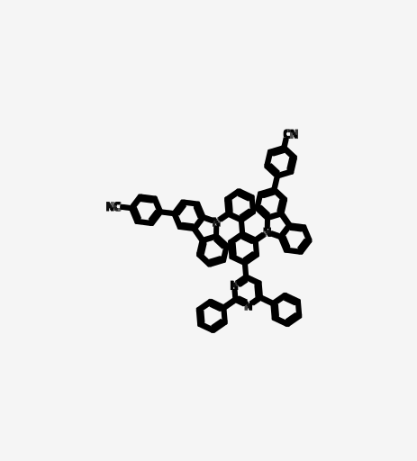 N#Cc1ccc(-c2ccc3c(c2)c2ccccc2n3-c2ccccc2-c2ccc(-c3cc(-c4ccccc4)nc(-c4ccccc4)n3)cc2-n2c3ccccc3c3cc(-c4ccc(C#N)cc4)ccc32)cc1